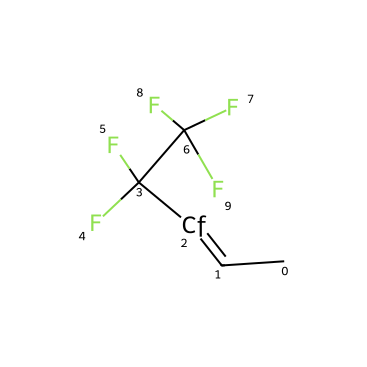 C[CH]=[Cf][C](F)(F)C(F)(F)F